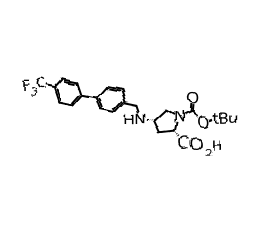 CC(C)(C)OC(=O)N1C[C@@H](NCc2ccc(-c3ccc(C(F)(F)F)cc3)cc2)C[C@H]1C(=O)O